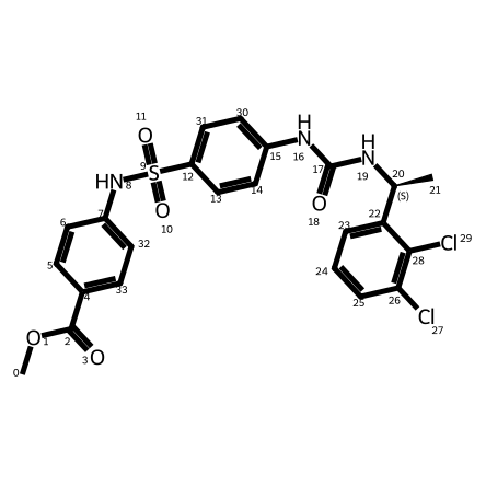 COC(=O)c1ccc(NS(=O)(=O)c2ccc(NC(=O)N[C@@H](C)c3cccc(Cl)c3Cl)cc2)cc1